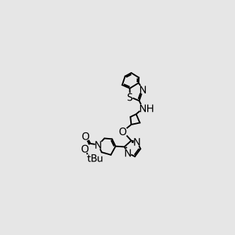 CC(C)(C)OC(=O)N1CC=C(c2nccnc2OC2CC(Nc3nc4ccccc4s3)C2)CC1